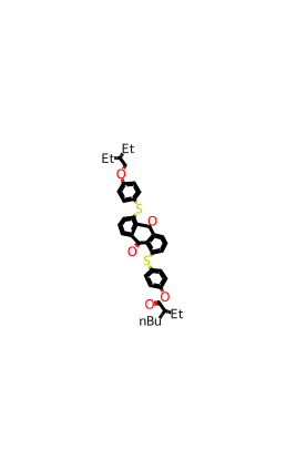 CCCCC(CC)C(=O)Oc1ccc(Sc2cccc3c2C(=O)c2cccc(Sc4ccc(OCC(CC)CC)cc4)c2C3=O)cc1